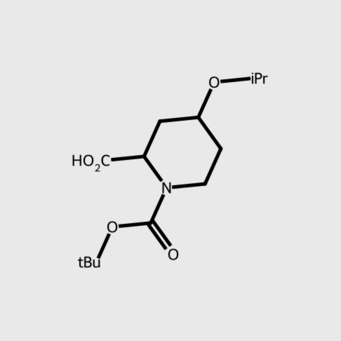 CC(C)OC1CCN(C(=O)OC(C)(C)C)C(C(=O)O)C1